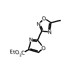 CCOC(=O)c1coc(-c2noc(C)n2)n1